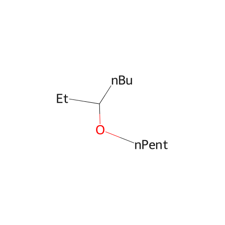 CCCCCOC(CC)CCCC